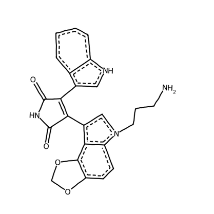 NCCCn1cc(C2=C(c3c[nH]c4ccccc34)C(=O)NC2=O)c2c3c(ccc21)OCO3